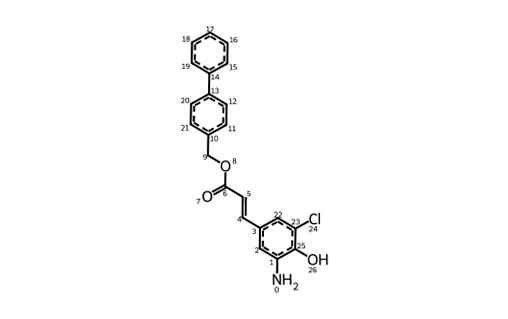 Nc1cc(C=CC(=O)OCc2ccc(-c3ccccc3)cc2)cc(Cl)c1O